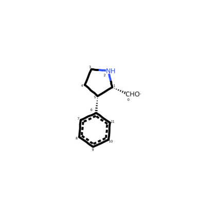 O=[C][C@H]1NCC[C@H]1c1ccccc1